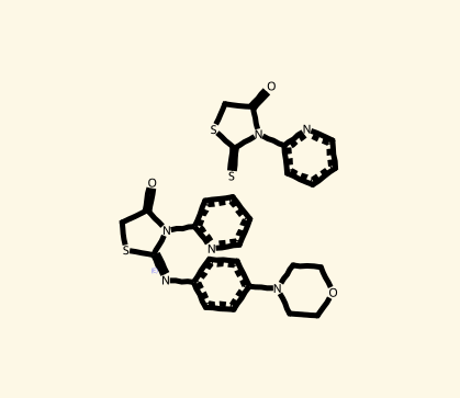 O=C1CS/C(=N/c2ccc(N3CCOCC3)cc2)N1c1ccccn1.O=C1CSC(=S)N1c1ccccn1